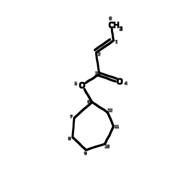 C/C=C/C(=O)OC1CCCCCC1